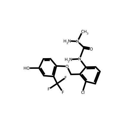 CN(N)C(=O)N(N)c1cccc(Cl)c1COc1ccc(O)cc1C(F)(F)F